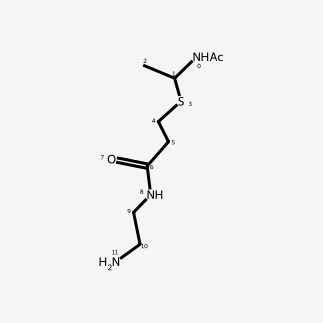 CC(=O)NC(C)SCCC(=O)NCCN